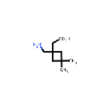 CC1(C)CC(CN)(CC(=O)O)C1